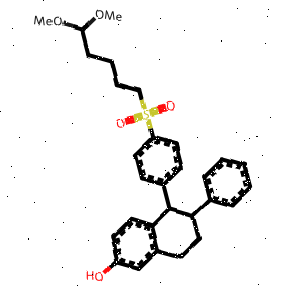 COC(CCCCS(=O)(=O)c1ccc(C2c3ccc(O)cc3CCC2c2ccccc2)cc1)OC